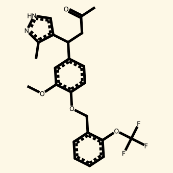 COc1cc(C(CC(C)=O)c2c[nH]nc2C)ccc1OCc1ccccc1OC(F)(F)F